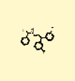 CCC(NCCC(c1cccc(F)c1)c1cccc(F)c1)c1ccccc1